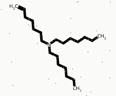 C=CCCCCCN(CCCCCCC)CCCCCCC